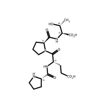 C[C@@H](O)[C@H](NC(=O)[C@@H]1CCCN1C(=O)[C@H](CCC(=O)O)NC(=O)[C@@H]1CCCN1)C(=O)O